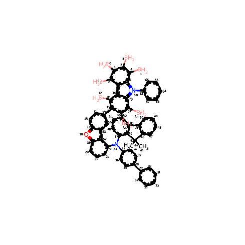 Bc1c(B)c(B)c2c(c1B)c1c(B)c(-c3ccc4oc5cccc(N(c6ccc(-c7ccccc7)cc6)c6cccc7c6C(C)(C)c6ccccc6-7)c5c4c3)c(B)c(B)c1n2-c1ccccc1